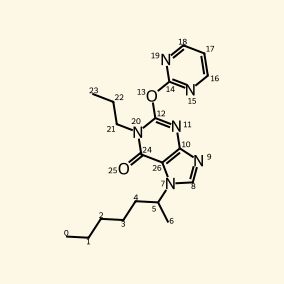 CCCCCC(C)n1cnc2nc(Oc3ncccn3)n(CCC)c(=O)c21